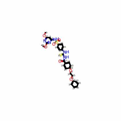 COc1cc(NS(=O)(=O)c2ccc(NC(=S)NC(=O)c3ccc(OCCOc4ccccc4)cc3)cc2)nc(OC)n1